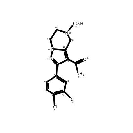 NC(=O)c1c(-c2ccc(Cl)c(Cl)c2)nn2c1CN(C(=O)O)CC2